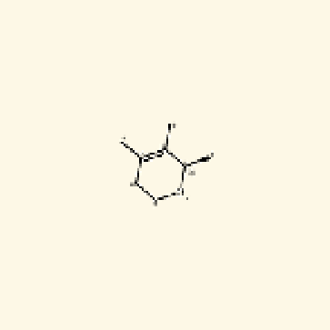 CC1=C(C)[C@@H](C)OCC1